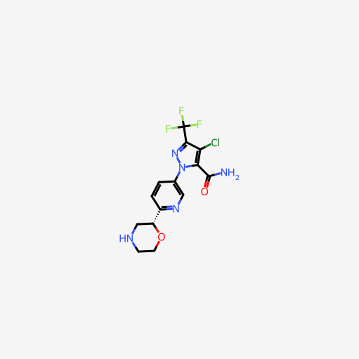 NC(=O)c1c(Cl)c(C(F)(F)F)nn1-c1ccc([C@H]2CNCCO2)nc1